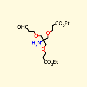 CCOC(=O)CCOCC(N)(COCCC=O)COCCC(=O)OCC